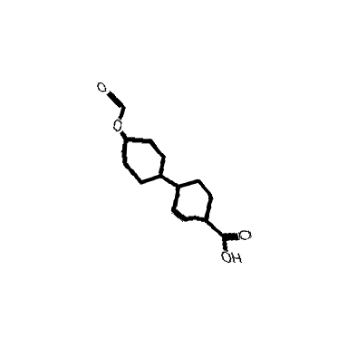 O=COC1CCC(C2CCC(C(=O)O)CC2)CC1